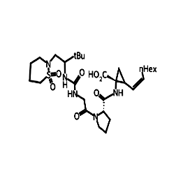 CCCCCC/C=C\C1C[C@]1(NC(=O)[C@@H]1CCCN1C(=O)CNC(=O)NC(CN1CCCCS1(=O)=O)C(C)(C)C)C(=O)O